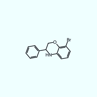 Brc1cccc2c1OCC(c1ccccc1)N2